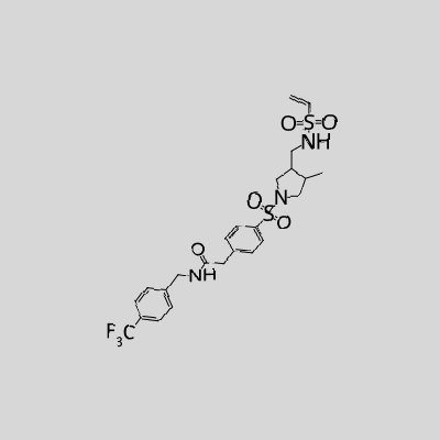 C=CS(=O)(=O)NCC1CN(S(=O)(=O)c2ccc(CC(=O)NCc3ccc(C(F)(F)F)cc3)cc2)CC1C